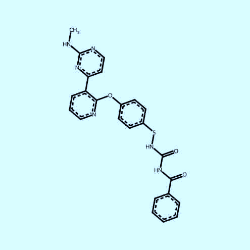 CNc1nccc(-c2cccnc2Oc2ccc(SNC(=O)NC(=O)c3ccccc3)cc2)n1